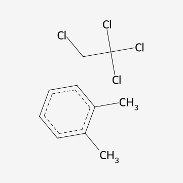 Cc1ccccc1C.ClCC(Cl)(Cl)Cl